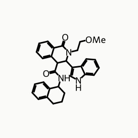 COCCN1C(=O)c2ccccc2C(C(=O)NC2CCCc3ccccc32)C1c1c[nH]c2ccccc12